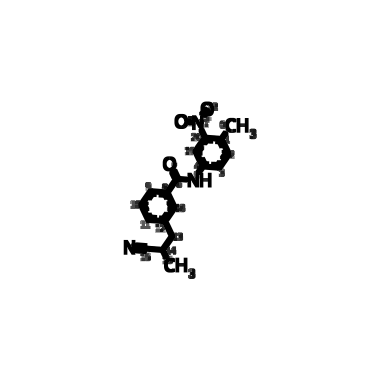 Cc1ccc(NC(=O)c2cccc(CC(C)C#N)c2)cc1[N+](=O)[O-]